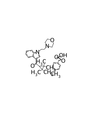 CC1(C)C(C(=O)c2cn(CCN3CCOCC3)c3ccccc23)C1(C)C.Cc1ccc(S(=O)(=O)O)cc1